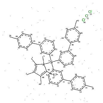 CC1=C(C)C(C)([Si](c2cccc(-c3ccc(C)cc3)c2)(c2cccc(-c3ccc(C)cc3)c2)c2cccc(-c3ccc(C)cc3)c2)[C]([Ti+3])=C1C.[Cl-].[Cl-].[Cl-]